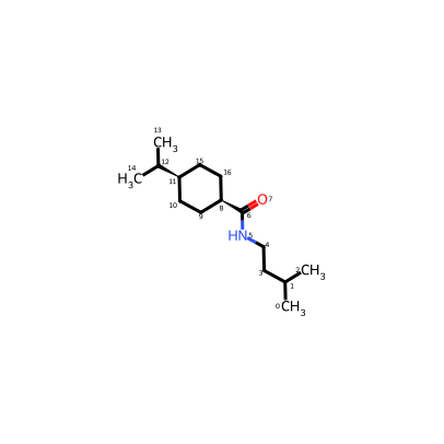 CC(C)CCNC(=O)[C@H]1CC[C@@H](C(C)C)CC1